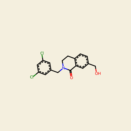 O=C1c2cc(CO)ccc2CCN1Cc1cc(Cl)cc(Cl)c1